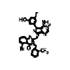 Nc1ncnc2c1c(-c1cc(O)cc(F)c1)nn2Cc1nc2cccc(Br)c2c(=O)n1Cc1ccccc1C(F)(F)F